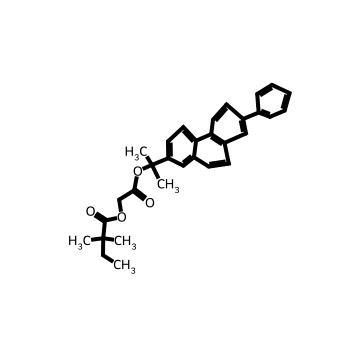 CCC(C)(C)C(=O)OCC(=O)OC(C)(C)c1ccc2c(ccc3cc(-c4ccccc4)ccc32)c1